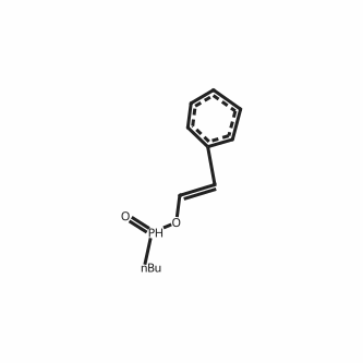 CCCC[PH](=O)OC=Cc1ccccc1